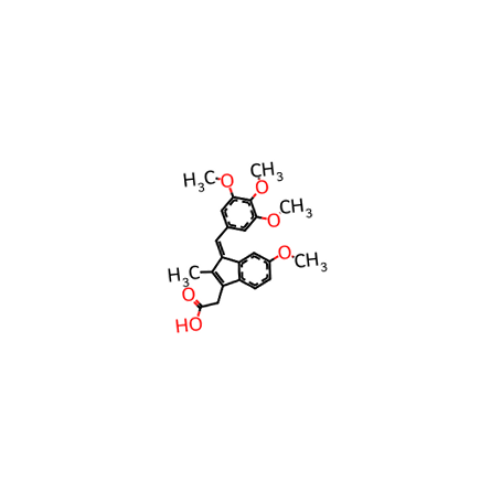 COc1ccc2c(c1)/C(=C\c1cc(OC)c(OC)c(OC)c1)C(C)=C2CC(=O)O